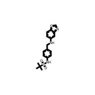 CC(C)(C)S(=O)(=O)Nc1ccc(CNc2ccc3ocnc3c2)cc1